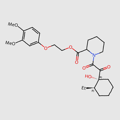 CC[C@@H]1CCCC[C@]1(O)C(=O)C(=O)N1CCCCC1C(=O)OCCOc1ccc(OC)c(OC)c1